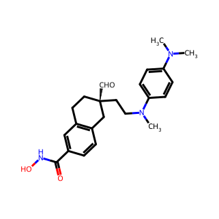 CN(C)c1ccc(N(C)CC[C@@]2(C=O)CCc3cc(C(=O)NO)ccc3C2)cc1